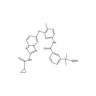 Cc1ccc(NC(=O)c2cccc(C(C)(C)C#N)c2)cc1Oc1ccc2nc(NC(=O)C3CC3)nn2c1